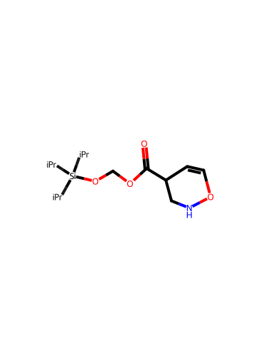 CC(C)[Si](OCOC(=O)C1C=CONC1)(C(C)C)C(C)C